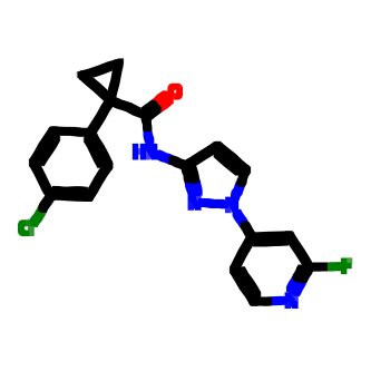 O=C(Nc1ccn(-c2ccnc(F)c2)n1)C1(c2ccc(Cl)cc2)CC1